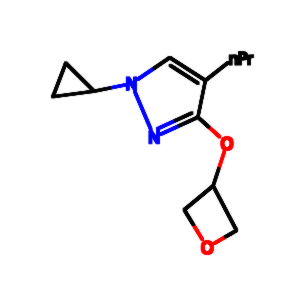 CCCc1cn(C2CC2)nc1OC1COC1